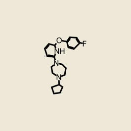 Fc1ccc(OC2C=C[C]=C(N3CCCN(C4CCCC4)CC3)N2)cc1